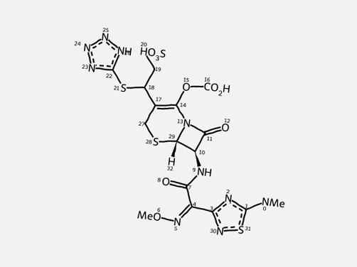 CNc1nc(/C(=N/OC)C(=O)N[C@@H]2C(=O)N3C(OC(=O)O)=C(C(CS(=O)(=O)O)Sc4nnn[nH]4)CS[C@@H]23)ns1